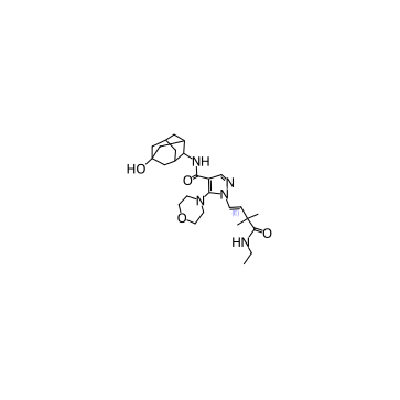 CCNC(=O)C(C)(C)/C=C/n1ncc(C(=O)NC2C3CC4CC2CC(O)(C4)C3)c1N1CCOCC1